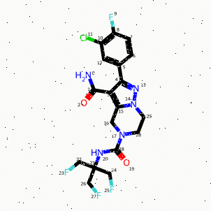 NC(=O)c1c(-c2ccc(F)c(Cl)c2)nn2c1CN(C(=O)NC(CF)(CF)CF)CC2